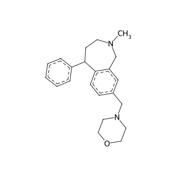 CN1CCC(c2ccccc2)c2ccc(CN3CCOCC3)cc2C1